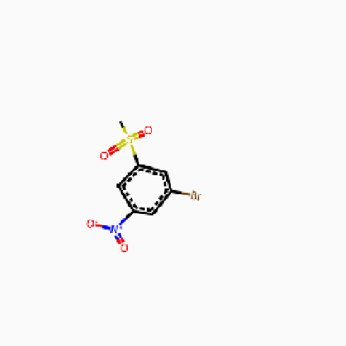 CS(=O)(=O)c1cc(Br)cc([N+](=O)[O-])c1